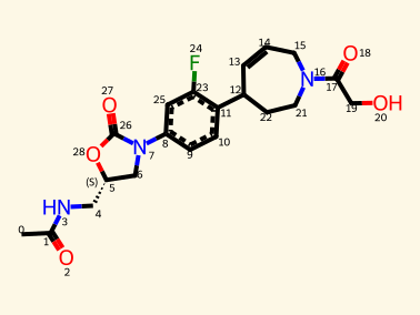 CC(=O)NC[C@H]1CN(c2ccc(C3C=CCN(C(=O)CO)CC3)c(F)c2)C(=O)O1